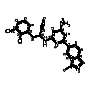 Cc1ncc2ccc(-c3nc(N)nc(NC(C#N)Cc4cccc(Cl)c4Cl)n3)cn12